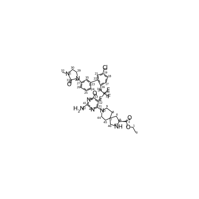 CCOC(=O)[C@@H]1CC2(CCN(c3cc(O[C@H](c4ccc(Cl)cc4-c4cccc(N5CCN(C)C5=O)c4)C(F)(F)F)nc(N)n3)CC2)CN1